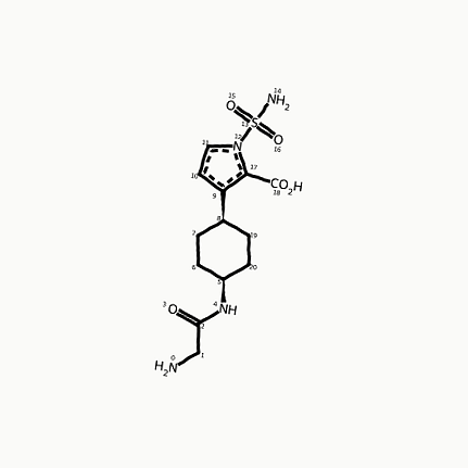 NCC(=O)N[C@H]1CC[C@@H](c2ccn(S(N)(=O)=O)c2C(=O)O)CC1